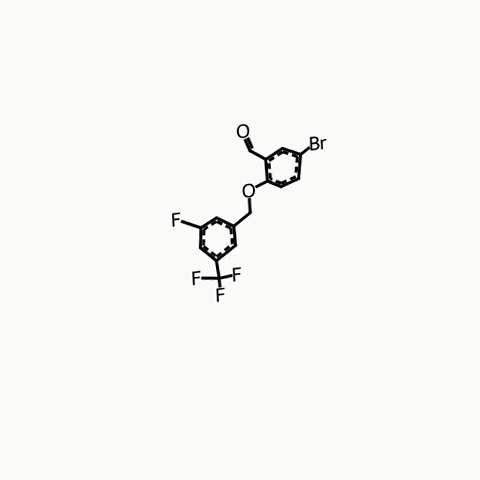 O=Cc1cc(Br)ccc1OCc1cc(F)cc(C(F)(F)F)c1